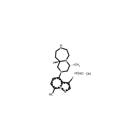 C[C@@H]1CN(c2ccc(C#N)n3ncc(F)c23)C[C@@H]2CCNCCN21.Cl.Cl.Cl